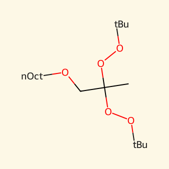 CCCCCCCCOCC(C)(OOC(C)(C)C)OOC(C)(C)C